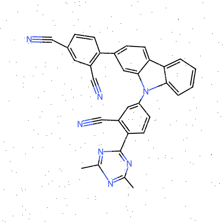 Cc1nc(C)nc(-c2ccc(-n3c4ccccc4c4ccc(-c5ccc(C#N)cc5C#N)cc43)cc2C#N)n1